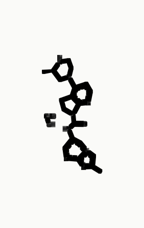 Cc1cn2cc(NC(=O)N3CCc4c(N5CCN[C@H](C)C5)ccnc43)cnc2n1.O=CO